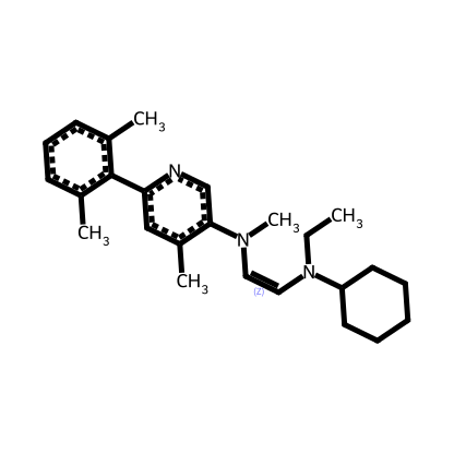 CCN(/C=C\N(C)c1cnc(-c2c(C)cccc2C)cc1C)C1CCCCC1